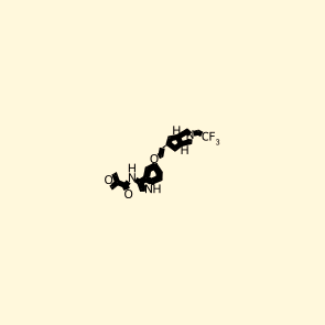 O=C(Nc1c[nH]c2ccc(OCC[C@@H]3C[C@@H]4CN(CC(F)(F)F)C[C@@H]4C3)cc12)C1COC1